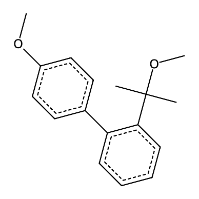 COc1ccc(-c2ccccc2C(C)(C)OC)cc1